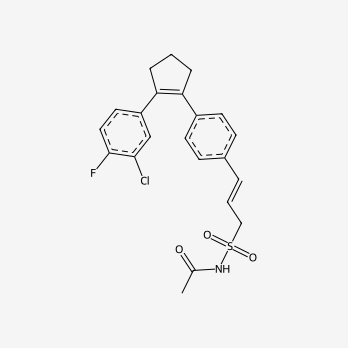 CC(=O)NS(=O)(=O)CC=Cc1ccc(C2=C(c3ccc(F)c(Cl)c3)CCC2)cc1